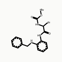 CC(C)C(NC(=O)OC(C)(C)C)C(=O)Nc1ccccc1NCc1ccccc1